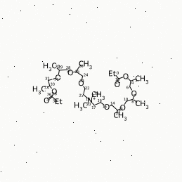 CCC(=O)OC(C)COC(C)COC(C)COCC[N+](C)(C)CCOCC(C)OCC(C)OCC(C)OC(=O)CC